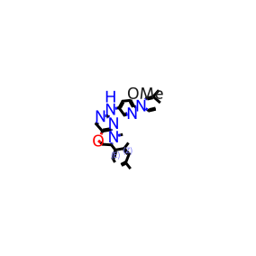 C=CN(C=C(C)C)c1ncc(Nc2ncc3c(n2)N(C)C(C(=C/C)/C(C)=C\C(=C)C)CO3)cc1OC